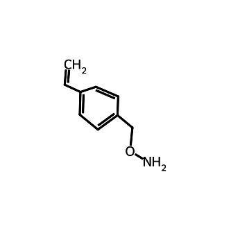 C=Cc1ccc(CON)cc1